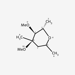 CO[C@H]1[C@H](C)OC(C)C[C@@]1(C)OC